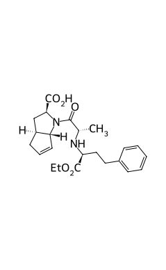 CCOC(=O)[C@H](CCc1ccccc1)N[C@@H](C)C(=O)N1[C@@H]2C=CC[C@H]2C[C@H]1C(=O)O